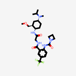 COC[C@H]1C[C@H](N(C)C(C)C)CC[C@@H]1NC(=O)CNC(=O)c1cc(C(F)(F)F)ccc1NC(=O)N1CCC1